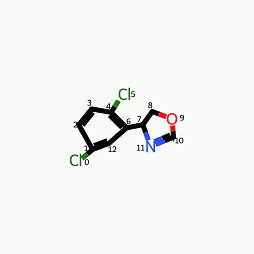 Clc1ccc(Cl)c(C2CO[C]=N2)c1